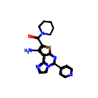 Nc1c(C(=O)N2CCCCC2)sc2nc(-c3ccncc3)n3ccnc3c12